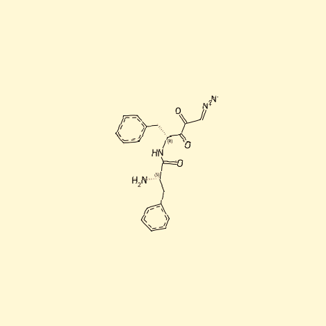 [N-]=[N+]=CC(=O)C(=O)[C@@H](Cc1ccccc1)NC(=O)[C@@H](N)Cc1ccccc1